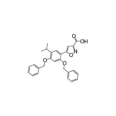 CC(C)c1cc(-c2cc(C(=O)O)no2)c(OCc2ccccc2)cc1OCc1ccccc1